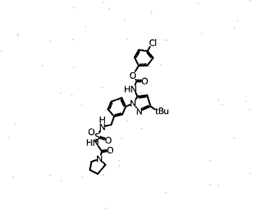 CC(C)(C)c1cc(NC(=O)Oc2ccc(Cl)cc2)n(-c2cccc(CNS(=O)(=O)NC(=O)N3CCCC3)c2)n1